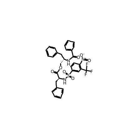 O=C(N[C@H](COC(=O)[C@H](Cc1ccccc1)NS(=O)(=O)c1ccc([N+](=O)[O-])c(C(F)(F)F)c1)Cc1ccccc1)c1ccccc1